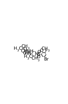 COc1c(F)cc(Br)cc1S(=O)(=O)N1CCC(NNC(=O)OC(C)(C)C)C(C)(C)C1